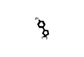 CC(C)c1ccc(C2CCC(F)(F)C2)cc1